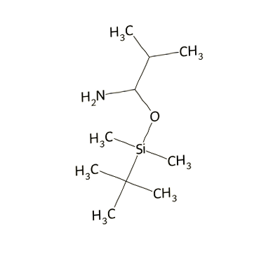 CC(C)C(N)O[Si](C)(C)C(C)(C)C